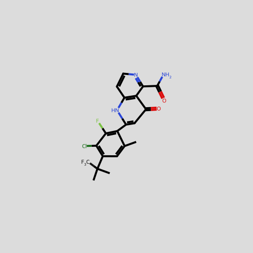 Cc1cc(C(C)(C)C(F)(F)F)c(Cl)c(F)c1-c1cc(=O)c2c(C(N)=O)nccc2[nH]1